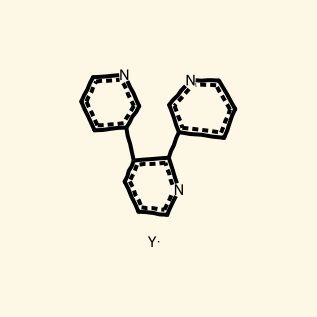 [Y].c1cncc(-c2cccnc2-c2cccnc2)c1